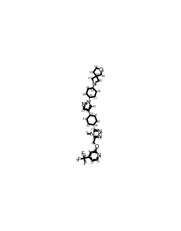 Cn1c(COc2cc(C(F)(F)F)ccn2)nnc1[C@H]1CC[C@H](c2cnn([C@H]3CC[C@H](N4CC5(CCOC5)C4)CC3)c2)CC1